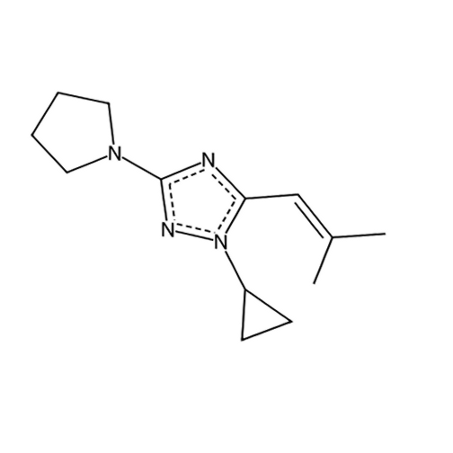 CC(C)=Cc1nc(N2CCCC2)nn1C1CC1